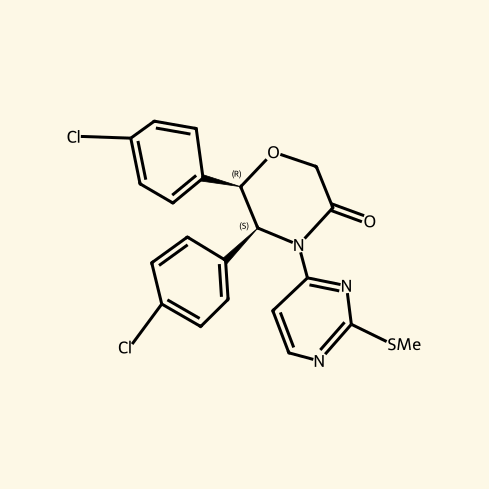 CSc1nccc(N2C(=O)CO[C@H](c3ccc(Cl)cc3)[C@@H]2c2ccc(Cl)cc2)n1